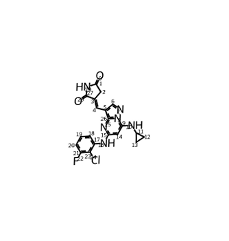 O=C1C/C(=C\c2cnn3c(NC4CC4)cc(Nc4cccc(F)c4Cl)nc23)C(=O)N1